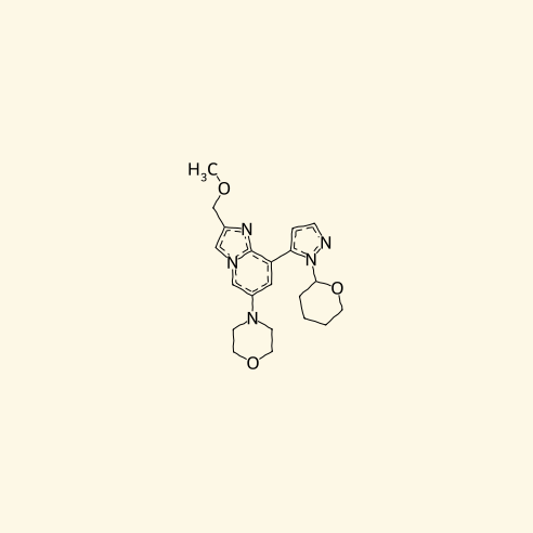 COCc1cn2cc(N3CCOCC3)cc(-c3ccnn3C3CCCCO3)c2n1